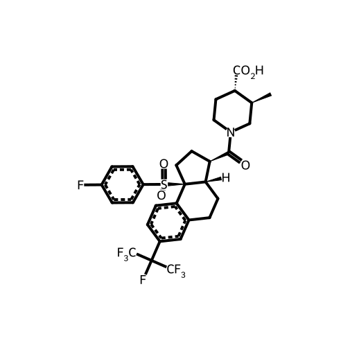 C[C@H]1CN(C(=O)[C@@H]2CC[C@@]3(S(=O)(=O)c4ccc(F)cc4)c4ccc(C(F)(C(F)(F)F)C(F)(F)F)cc4CC[C@@H]23)CC[C@@H]1C(=O)O